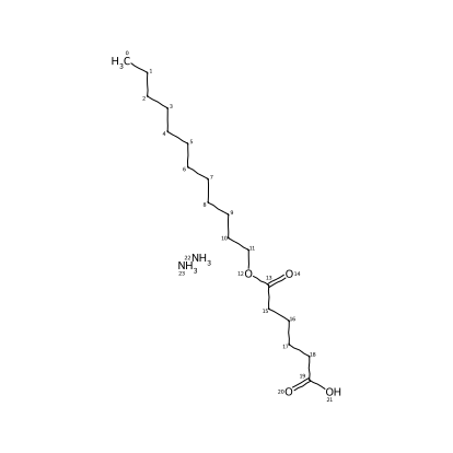 CCCCCCCCCCCCOC(=O)CCCCC(=O)O.N.N